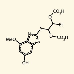 CCC(OC(=O)O)C(OC(=O)O)Sc1nc2c(OC)cc(O)cc2s1